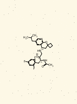 CC(=O)N[C@@H](Cc1c(F)cc(F)cc1F)[C@@H](O)CN[C@H]1CC2(CCC2)Oc2ncc(CC(C)C)cc21